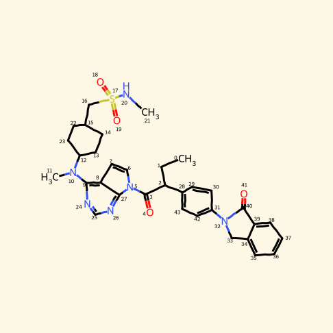 CCC(C(=O)n1ccc2c(N(C)C3CCC(CS(=O)(=O)NC)CC3)ncnc21)c1ccc(N2Cc3ccccc3C2=O)cc1